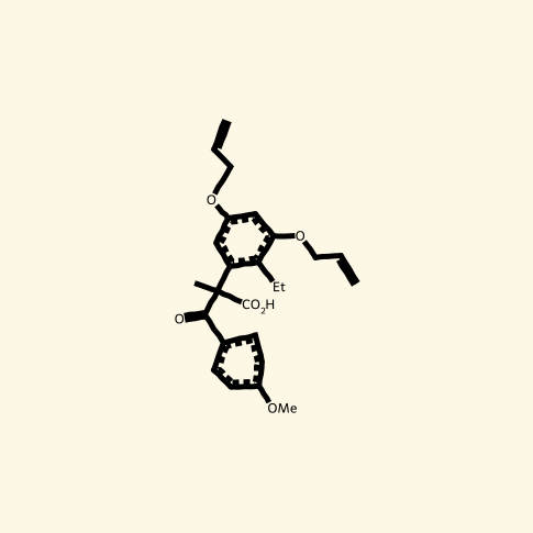 C=CCOc1cc(OCC=C)c(CC)c(C(C)(C(=O)O)C(=O)c2ccc(OC)cc2)c1